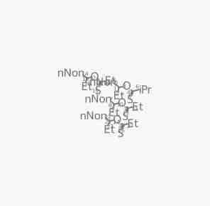 CCCCCCCCCC(CC)OC(=S)C(C)C.CCCCCCCCCC(CC)OC(=S)CC.CCCCCCCCCC(CC)OC(=S)CC.CCCCCCCCCC(CC)OC(=S)CC